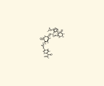 CNC(=O)c1ccc(C2CC2c2ccc(OCc3c(-c4c(Cl)cccc4Cl)noc3C3CC3)cc2Cl)cc1